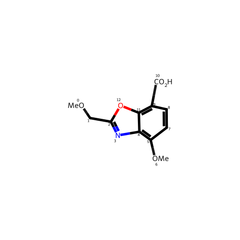 COCc1nc2c(OC)ccc(C(=O)O)c2o1